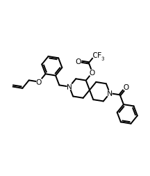 C=CCOc1ccccc1CN1CCC2(CCN(C(=O)c3ccccc3)CC2)C(OC(=O)C(F)(F)F)C1